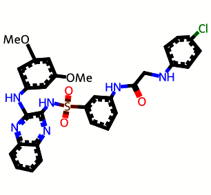 COc1cc(Nc2nc3ccccc3nc2NS(=O)(=O)c2cccc(NC(=O)CNc3ccc(Cl)cc3)c2)cc(OC)c1